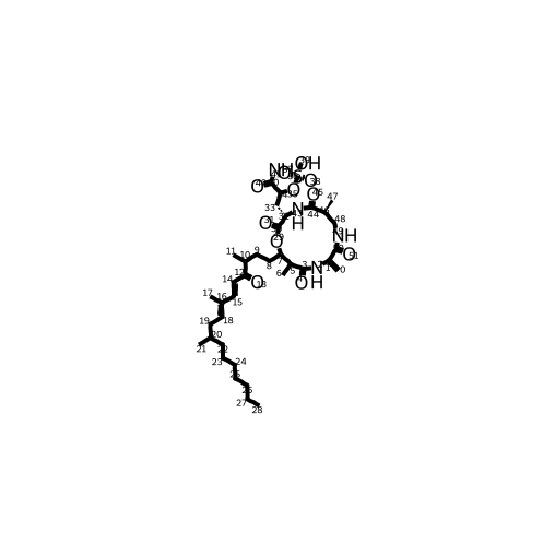 C=C1NC(=O)C(C)C(CCC(C)C(=O)/C=C/C(C)=C/CC(C)CCCCCCC)OC(=O)[C@H](CC(OS(=O)(=O)O)C(N)=O)NC(=O)[C@@H](C)CNC1=O